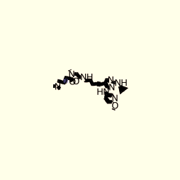 COc1ccc(Nc2nc(NC3CC3)ncc2C#CCCCNC(=O)CN(C)C(=O)/C=C/CN(C)C)cn1